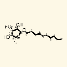 CCCCCCCCCCO[C@H]1O[C@H](C)[C@@H](O)[C@H](O)[C@@H]1O